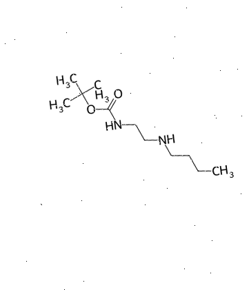 CCCCNCCNC(=O)OC(C)(C)C